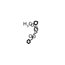 COc1ccccc1N1CCN(CCOC(=O)Cc2ccccc2)CC1